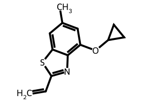 C=Cc1nc2c(OC3CC3)cc(C)cc2s1